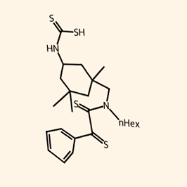 CCCCCCN(CC1(C)CC(NC(=S)S)CC(C)(C)C1)C(=S)C(=S)c1ccccc1